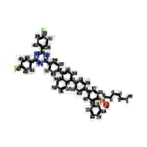 C\C=C/C=C\C=C\P(=O)(c1ccccc1)c1ccc(-c2ccc(C3=CC=C(c4ccc(-c5nc(-c6ccc(F)cc6)nc(-c6ccc(F)cc6)n5)cc4)C4C=CC=CC34)cc2)cc1